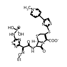 CCON=C(C(=O)N[C@@H]1C(=O)N2C(C(=O)[O-])=C(Sc3nc(-c4cc[n+](C)cc4)cs3)CS[C@H]12)c1nsc(NP(=O)(O)O)n1